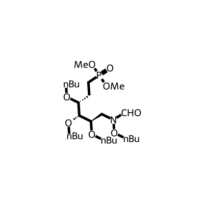 CCCCO[C@H]([C@@H](CCP(=O)(OC)OC)OCCCC)[C@@H](CN(C=O)OCCCC)OCCCC